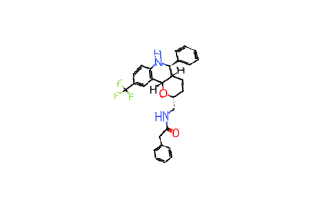 O=C(Cc1ccccc1)NC[C@H]1CC[C@@H]2[C@H](O1)c1cc(C(F)(F)F)ccc1N[C@H]2c1ccccc1